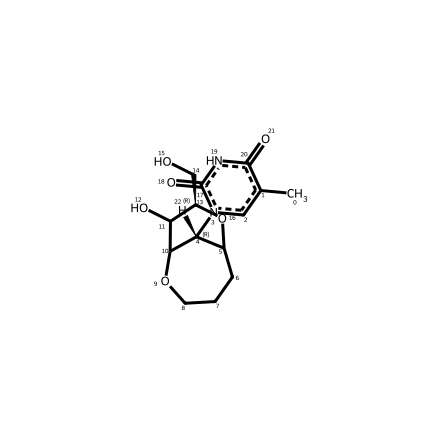 Cc1cn([C@@H]2C3CCCOC2C(O)[C@@H](CO)O3)c(=O)[nH]c1=O